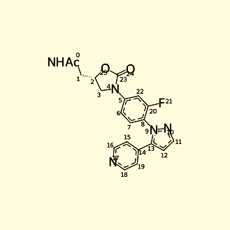 CC(=O)NC[C@H]1CN(c2ccc(-n3nccc3-c3ccncc3)c(F)c2)C(=O)O1